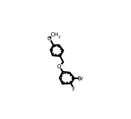 COc1ccc(COc2ccc(F)c(Br)c2)cc1